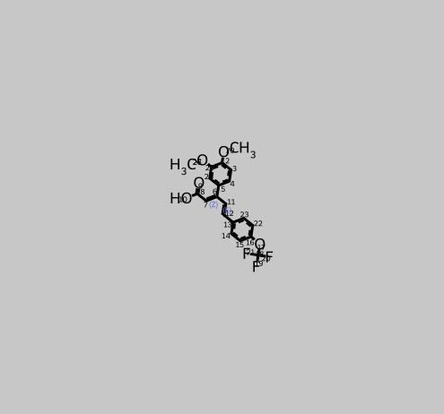 COc1ccc(C(=C\C(=O)O)/C=C/c2ccc(OC(F)(F)F)cc2)cc1OC